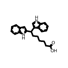 O=C(O)CCCCCC(c1cc2ccccc2[nH]1)c1c[nH]c2ccccc12